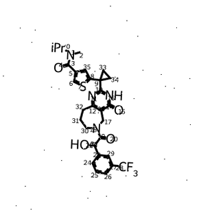 CC(C)N(C)C(=O)c1csc(C2(c3nc4c(c(=O)[nH]3)CN(C(=O)[C@H](O)c3cccc(C(F)(F)F)c3)CCC4)CC2)c1